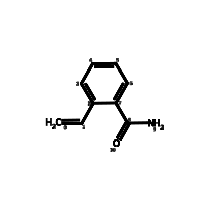 C=Cc1ccccc1C(N)=O